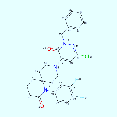 O=C1CCCC2(CCN(c3cc(Cl)nn(Cc4ccccc4)c3=O)CC2)N1c1ccc(F)c(F)c1